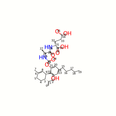 C=C(C)[C@@H]1CCC(C)=C[C@H]1c1c(O)cc(CCCCC)cc1OC(=O)N[C@@H](C)C(=O)N[C@@H](CCC(=O)O)C(=O)O